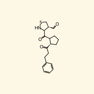 O=C[C@@H]1CSNC1C(=O)C1CCC[C@H]1C(=O)CCc1ccccc1